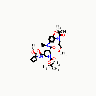 COCCCN1C(=O)C(C)(C)Oc2ccc(N(C(=O)[C@@H]3C[C@H](C(=O)NC4(COC)CCCC4)CN(C(=O)OC(C)(C)C)C3)C3CC3)cc21